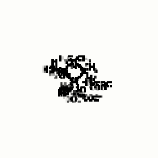 C=CC1=C(C)C2=CC3=C(/C=C/NO)C(C)(O)C(=CC4=NC(=CC5=NC(=CC1=N2)C(C)=C5CCC(=O)N[C@@H](CC(=O)[O-])C(=O)[O-])C(CCC(=O)N[C@@H](CC(=O)[O-])C(=O)[O-])=C4C)N3.[Na+].[Na+].[Na+].[Na+]